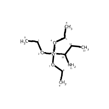 CC[O][Zr]([O]CC)([O]CC)[CH](N)CC